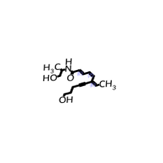 C\C=C(C#CCCCO)/C=C\C=C\C(=O)NC(C)CO